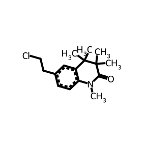 CN1C(=O)C(C)(C)C(C)(C)c2cc(CCCl)ccc21